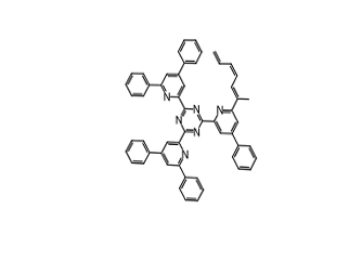 C=C/C=C\C=C(/C)c1cc(-c2ccccc2)cc(-c2nc(-c3cc(-c4ccccc4)cc(-c4ccccc4)n3)nc(-c3cc(-c4ccccc4)cc(-c4ccccc4)n3)n2)n1